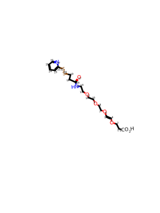 O=C(O)CCOC=COCCOCCOCCNC(=O)CCSSc1ccccn1